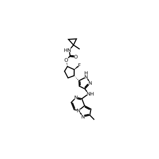 Cc1cc2c(Nc3cc([C@@H]4CC[C@H](OC(=O)NC5(C)CC5)[C@H]4F)[nH]n3)nccn2n1